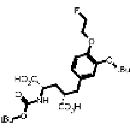 CC(C)(C)OC(=O)N[C@@H](C[C@H](Cc1ccc(OCCF)c(OC(C)(C)C)c1)C(=O)O)C(=O)O